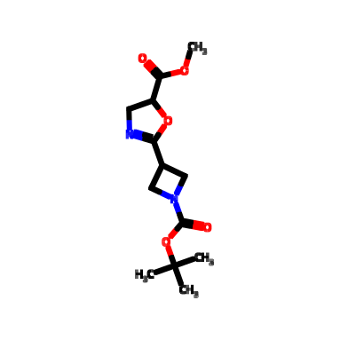 COC(=O)C1CN=C(C2CN(C(=O)OC(C)(C)C)C2)O1